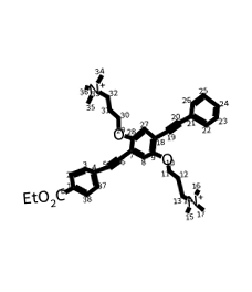 CCOC(=O)c1ccc(C#Cc2cc(OCCC[N+](C)(C)C)c(C#Cc3ccccc3)cc2OCCC[N+](C)(C)C)cc1